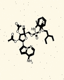 CCC(CC)COC(=O)[C@H](C)N[P@](=O)(OC[C@@]1(C#N)O[C@@H](c2ccc3c(N)ccnn23)[C@H](OC(C)=O)[C@@H]1OC(C)=O)Oc1ccccc1